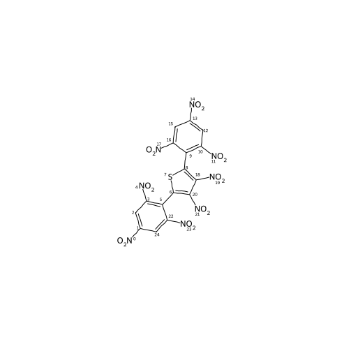 O=[N+]([O-])c1cc([N+](=O)[O-])c(-c2sc(-c3c([N+](=O)[O-])cc([N+](=O)[O-])cc3[N+](=O)[O-])c([N+](=O)[O-])c2[N+](=O)[O-])c([N+](=O)[O-])c1